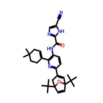 CC1(C)CC=C(c2nc(C3=CC4(C(C)(C)C)C=CC(C(C)(C)C)(C3)O4)ccc2NC(=O)c2ncc(C#N)[nH]2)CC1